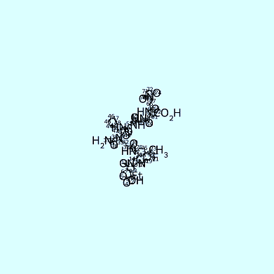 CC[C@@]1(O)C(=O)OCc2c1cc1n(c2=O)Cc2c-1nc1cc(F)c(C)c3c1c2[C@@H](NC(=O)CCCN(CC(N)=O)C(=O)[C@H](Cc1ccccc1)NC(=O)CNC(=O)CNC(=O)[C@H](CC(=O)O)NC(=O)CCN1C(=O)C=CC1=O)CC3